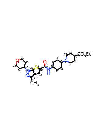 CCOC(=O)C1CCN(C2CCC(NC(=O)c3cc4c(C)nn(C5CCOCC5)c4s3)CC2)CC1